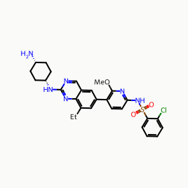 CCc1cc(-c2ccc(NS(=O)(=O)c3ccccc3Cl)nc2OC)cc2cnc(N[C@H]3CC[C@@H](N)CC3)nc12